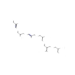 CC/C(C)=C/OCC(C)CO/C=C(\C)COCC(C)COCC(COCC(C)CC)C(C)C